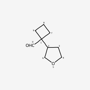 O=CC1(C2CCOC2)CCC1